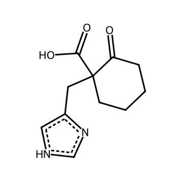 O=C(O)C1(Cc2c[nH]cn2)CCCCC1=O